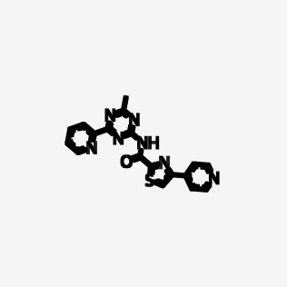 Cc1nc(NC(=O)c2nc(-c3ccncc3)cs2)nc(-c2ccccn2)n1